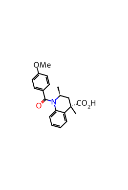 COc1ccc(C(=O)N2c3ccccc3[C@@](C)(C(=O)O)C[C@@H]2C)cc1